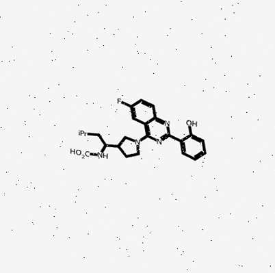 CC(C)CC(NC(=O)O)C1CCN(c2nc(-c3ccccc3O)nc3ccc(F)cc23)C1